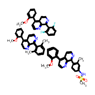 COc1ccccc1-c1ccnc2c(-c3c(C)cccc3C)nccc12.COc1ccccc1-c1ccnc2c(-c3c(F)cccc3F)nccc12.COc1ccccc1-c1ccnc2c(-c3ccc(NS(C)(=O)=O)cc3C)nccc12